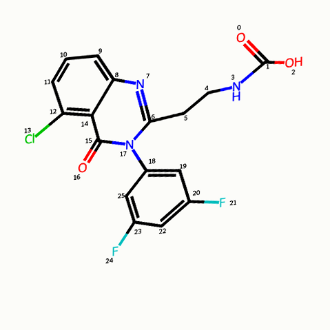 O=C(O)NCCc1nc2cccc(Cl)c2c(=O)n1-c1cc(F)cc(F)c1